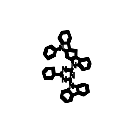 c1ccc(-c2nc(-n3c4ccccc4c4ccccc43)nc(-n3c4ccccc4c4cc5c6ccccc6n(-c6ccccc6)c5cc43)n2)cc1